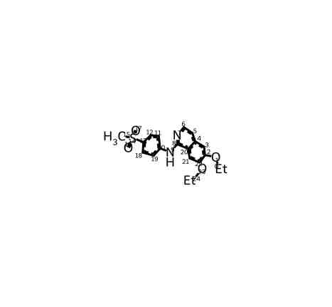 CCOc1cc2ccnc(Nc3ccc(S(C)(=O)=O)cc3)c2cc1OCC